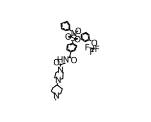 CN1CCC(N2CCN(C(=O)CNC(=O)c3ccc(S(=O)(=O)N(Oc4ccc(OC(F)(F)F)cc4)c4ccccc4)cc3)CC2)CC1